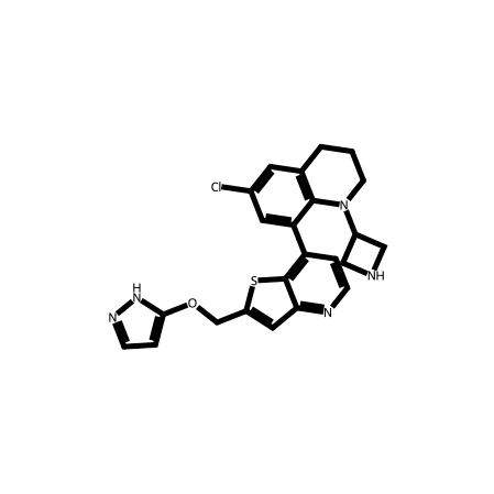 Clc1cc2c(c(-c3ccnc4cc(COc5ccn[nH]5)sc34)c1)N(C1CNC1)CCC2